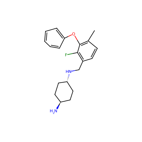 Cc1ccc(CN[C@H]2CC[C@H](N)CC2)c(F)c1Oc1ccccc1